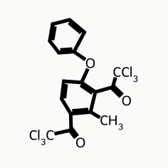 Cc1c(C(=O)C(Cl)(Cl)Cl)ccc(Oc2ccccc2)c1C(=O)C(Cl)(Cl)Cl